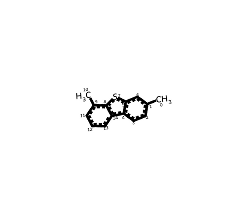 Cc1ccc2c(c1)sc1c(C)cccc12